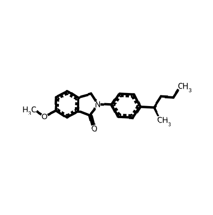 CCCC(C)c1ccc(N2Cc3ccc(OC)cc3C2=O)cc1